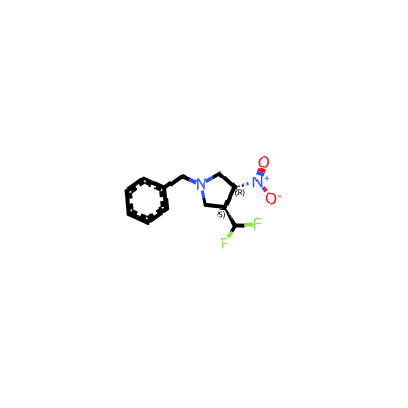 O=[N+]([O-])[C@H]1CN(Cc2ccccc2)C[C@@H]1C(F)F